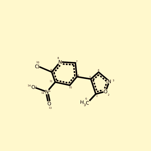 Cc1oncc1-c1cnc(Cl)c([N+](=O)[O-])c1